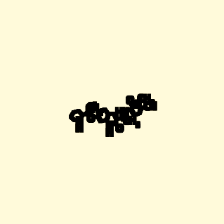 C[C@H](Nc1ccc(C#N)n(C)c1=O)c1cc2cc(Cl)c(O[C@H](C)C3CCCCN3)cc2[nH]c1=O